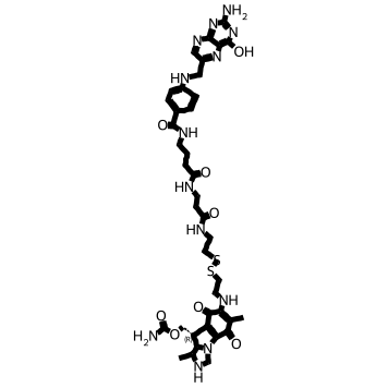 CC1=C(NCCSSCCNC(=O)CCNC(=O)CCCNC(=O)c2ccc(NCc3cnc4nc(N)nc(O)c4n3)cc2)C(=O)C2=C(C1=O)N1CNC(C)C1[C@@H]2COC(N)=O